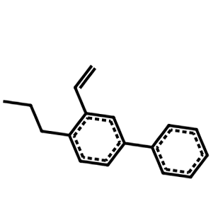 C=Cc1cc(-c2ccccc2)ccc1CCC